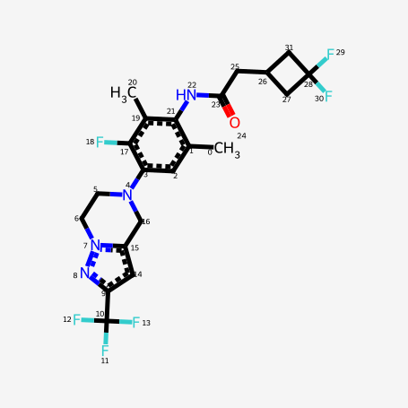 Cc1cc(N2CCn3nc(C(F)(F)F)cc3C2)c(F)c(C)c1NC(=O)CC1CC(F)(F)C1